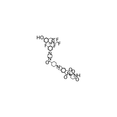 C[C@@H]1Cc2cc(O)ccc2[C@@H](c2c(F)cc(N3CCN(C(=O)C4CCC(N5Cc6cc7c(cc6C5)C(=O)N([C@@H]5CCC(=O)NC5=O)C7=O)CC4)CC3)cc2F)N1CC(F)F